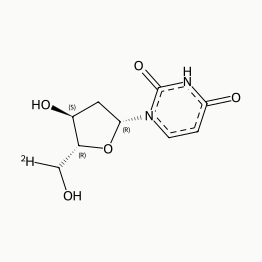 [2H]C(O)[C@H]1O[C@@H](n2ccc(=O)[nH]c2=O)C[C@@H]1O